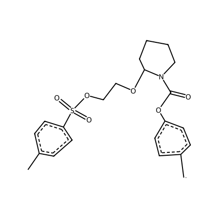 [CH2]c1ccc(OC(=O)N2CCCCC2OCCOS(=O)(=O)c2ccc(C)cc2)cc1